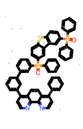 O=P(c1ccccc1)(c1ccccc1)c1ccc2sc3ccc(P(=O)(c4ccccc4)c4cccc(-c5cccc(-c6ccnc7c6ccc6c(-c8ccccc8)ccnc67)c5)c4)cc3c2c1